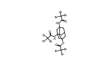 O=C(NC12CC3CC(NC(=O)C(Br)(Br)Br)(C1)CC(OC(=O)C(Br)(Br)Br)(C3)C2)C(Br)(Br)Br